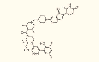 CC[C@]12CNc3nnc(-c4cc(F)cc(F)c4O)cc3N1CCN(C(=O)N1[C@H](C)CN(CC3CCN(c4ccc5c(c4)C(=O)N([C@@H]4CCC(=O)NC4=O)C5)CC3)C[C@@H]1C)C2